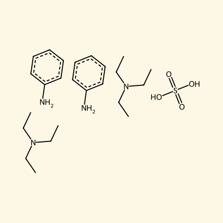 CCN(CC)CC.CCN(CC)CC.Nc1ccccc1.Nc1ccccc1.O=S(=O)(O)O